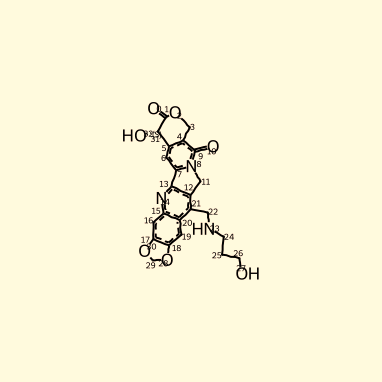 O=C1OCc2c(cc3n(c2=O)Cc2c-3nc3cc4c(cc3c2CNCCCO)OCO4)[C@@H]1O